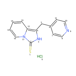 Cl.S=c1[nH]c(Cc2ccncc2)c2ccccn12